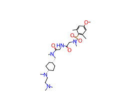 COc1cc(C)c(S(=O)(=O)N(C)CC(=O)NCC(=O)N(C)C[C@H]2CC[C@@H](N(C)CCN(C)C)CC2)c(C)c1